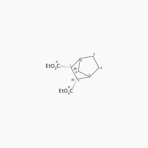 CCOC(=O)[C@@H]1C2CCC(C2)[C@@H]1C(=O)OCC